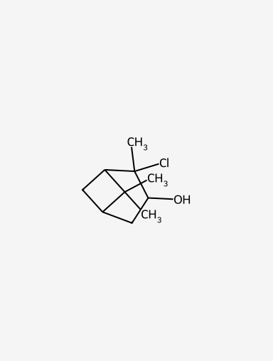 CC1(C)C2CC(O)C(C)(Cl)C1C2